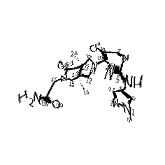 Cn1cc(Nc2ncc(Cl)c(N3C[C@@]4(C)CN(CC(N)=O)C(=O)[C@@]4(C)C3)n2)cn1